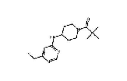 CCc1cc(NC2CCN(C(=O)C(C)(C)C)CC2)ncn1